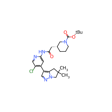 CC1(C)Cc2c(-c3cc(NC(=O)C[C@H]4CCCN(C(=O)OC(C)(C)C)C4)ncc3Cl)cnn2C1